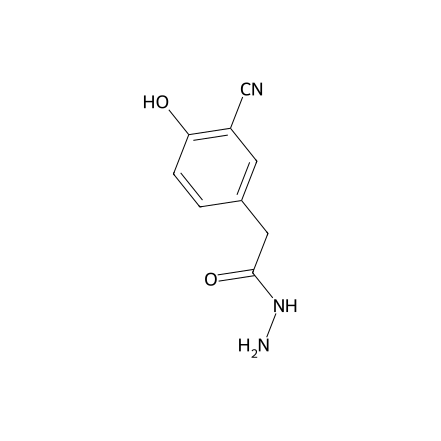 N#Cc1cc(CC(=O)NN)ccc1O